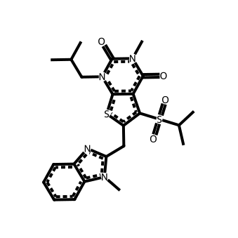 CC(C)Cn1c(=O)n(C)c(=O)c2c(S(=O)(=O)C(C)C)c(Cc3nc4ccccc4n3C)sc21